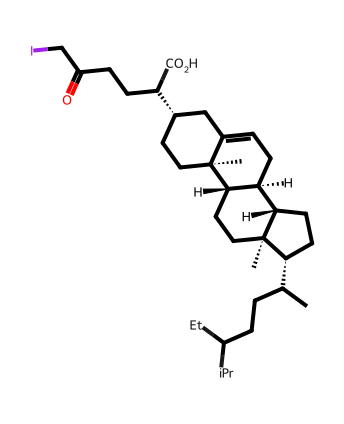 CCC(CCC(C)[C@H]1CC[C@H]2[C@@H]3CC=C4C[C@@H](C(CCC(=O)CI)C(=O)O)CC[C@]4(C)[C@H]3CC[C@]12C)C(C)C